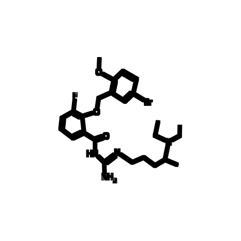 CCN(CC)C(C)CCCN=C(N)NC(=O)c1cccc(F)c1OCc1cc(Br)ccc1OC